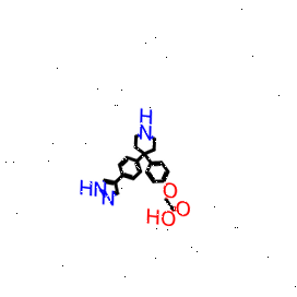 O=C(O)COc1ccc(C2(c3ccc(-c4cn[nH]c4)cc3)CCNCC2)cc1